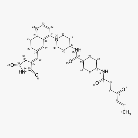 C/C=C/C(=O)CCC(=O)NC1CCC(C(=O)NC2CCN(c3ccnc4ccc(/C=C5\SC(=O)NC5=O)cc34)CC2)CC1